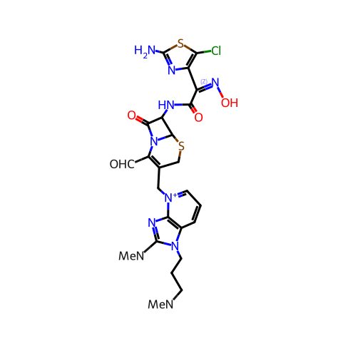 CNCCCn1c(NC)nc2c1ccc[n+]2CC1=C(C=O)N2C(=O)C(NC(=O)/C(=N\O)c3nc(N)sc3Cl)C2SC1